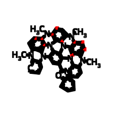 CN1c2ccccc2N(c2cc(-c3nc4ccccc4o3)c(N3c4ccccc4N(C)c4ccccc43)c(N3c4ccccc4N(C)c4ccccc43)c2N2c3ccccc3N(C)c3ccccc32)c2ccccc21